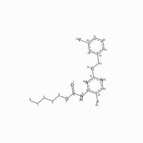 CCCCCOC(=O)Nc1nc(OCc2cccc(F)c2)ncc1F